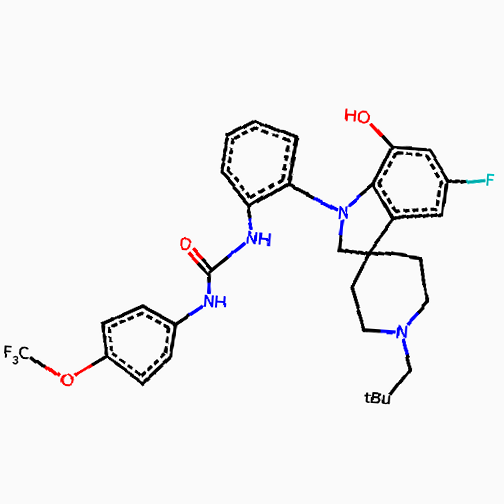 CC(C)(C)CN1CCC2(CC1)CN(c1ccccc1NC(=O)Nc1ccc(OC(F)(F)F)cc1)c1c(O)cc(F)cc12